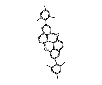 Cc1cc(C)c(-c2cc3ccc4oc5cc(-c6c(C)cc(C)cc6C)cc6ccc7oc(c2)c3c4-c7c65)c(C)c1